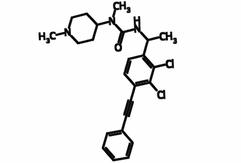 CC(NC(=O)N(C)C1CCN(C)CC1)c1ccc(C#Cc2ccccc2)c(Cl)c1Cl